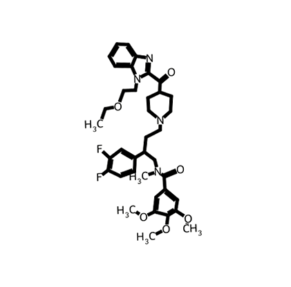 CCOCCn1c(C(=O)C2CCN(CCC(CN(C)C(=O)c3cc(OC)c(OC)c(OC)c3)c3ccc(F)c(F)c3)CC2)nc2ccccc21